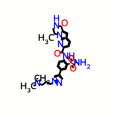 C[C@@H]1CNC(=O)c2cc3ccc(C(=O)Nc4ccc(-c5cnn(CCCN(C)C)c5)cc4S(N)(=O)=O)nc3n21